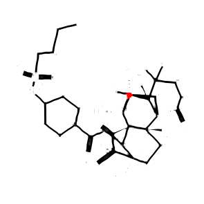 C=C1C(=O)[C@]23[C@H](OC(=O)C4CCC(NS(=O)(=O)CCCC)CC4)[C@H]1CC[C@H]2[C@@]12CO[C@@]3(O)[C@@H](O)[C@@H]1C(C)(C)CCC2=O